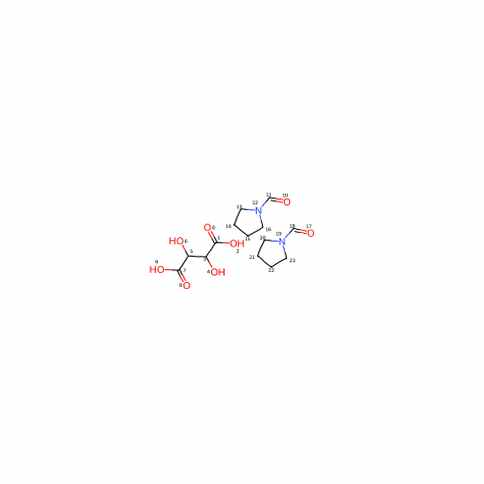 O=C(O)C(O)C(O)C(=O)O.O=CN1CCCC1.O=CN1CCCC1